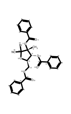 C[C@@]1(OC(=O)c2ccccc2)[C@H](OC(=O)c2ccccc2)[C@@H](COC(=O)c2ccccc2)OC1(Br)C#N